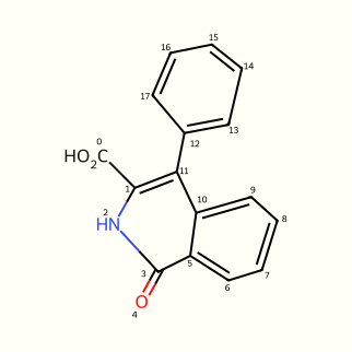 O=C(O)c1[nH]c(=O)c2ccccc2c1-c1ccccc1